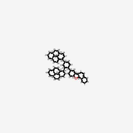 c1ccc2c(c1)ccc1c3cc(-c4ccc(-c5ccc6ccc7cccc8ccc5c6c78)cc4-c4ccc5ccc6cccc7ccc4c5c67)ccc3oc21